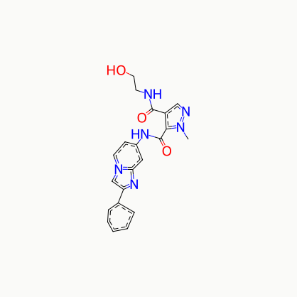 Cn1ncc(C(=O)NCCO)c1C(=O)Nc1ccn2cc(-c3ccccc3)nc2c1